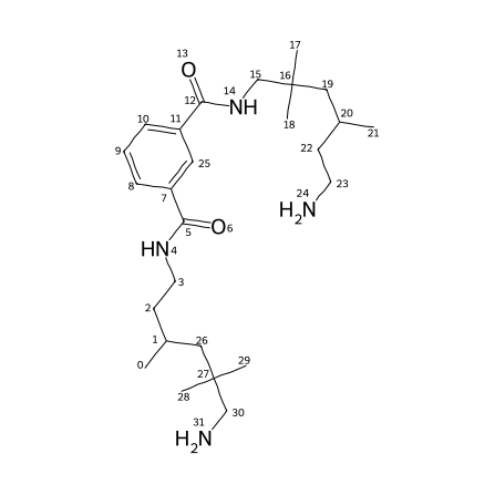 CC(CCNC(=O)c1cccc(C(=O)NCC(C)(C)CC(C)CCN)c1)CC(C)(C)CN